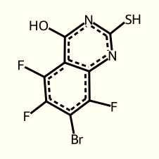 Oc1nc(S)nc2c(F)c(Br)c(F)c(F)c12